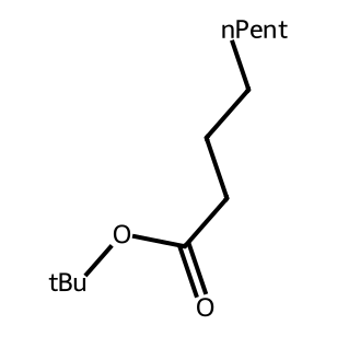 [CH2]CCCCCCCC(=O)OC(C)(C)C